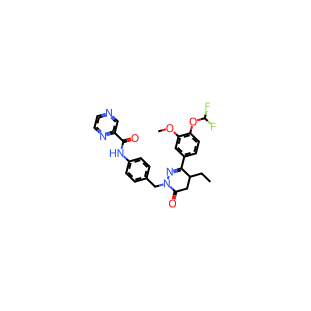 CCC1CC(=O)N(Cc2ccc(NC(=O)c3cnccn3)cc2)N=C1c1ccc(OC(F)F)c(OC)c1